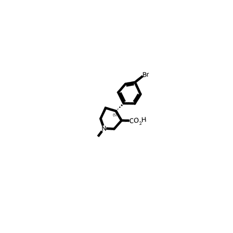 CN1CC[C@H](c2ccc(Br)cc2)C(C(=O)O)C1